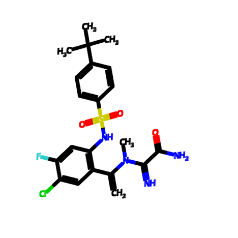 C=C(c1cc(Cl)c(F)cc1NS(=O)(=O)c1ccc(C(C)(C)C)cc1)N(C)C(=N)C(N)=O